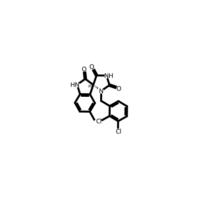 Cc1ccc2c(c1)[C@]1(C(=O)NC(=O)N1Cc1cccc(Cl)c1Cl)C(=O)N2